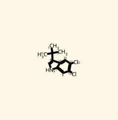 CC(C)(C)c1c[nH]c2cc(Cl)c(Cl)cc12